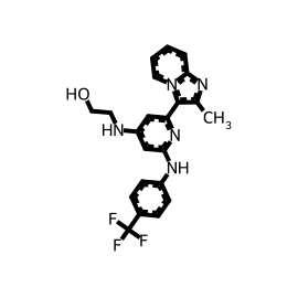 Cc1nc2ccccn2c1-c1cc(NCCO)cc(Nc2ccc(C(F)(F)F)cc2)n1